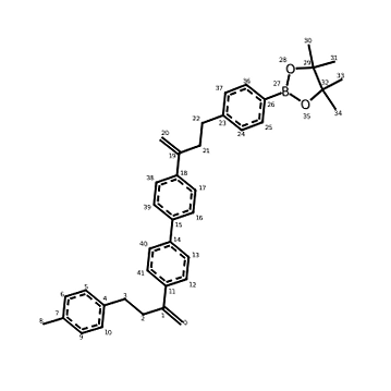 C=C(CCc1ccc(C)cc1)c1ccc(-c2ccc(C(=C)CCc3ccc(B4OC(C)(C)C(C)(C)O4)cc3)cc2)cc1